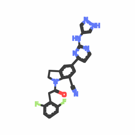 N#Cc1cc(-c2ccnc(Nc3cn[nH]c3)n2)cc2c1N(C(=O)Cc1c(F)cccc1F)CC2